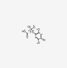 O=C(O)[C@H]1[C@H](c2cc(Cl)c(Cl)cc2Cl)C1(Cl)Cl